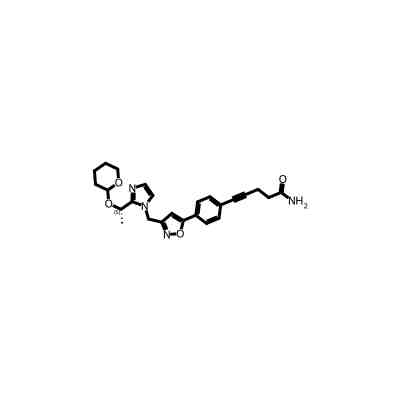 C[C@H](OC1CCCCO1)c1nccn1Cc1cc(-c2ccc(C#CCCC(N)=O)cc2)on1